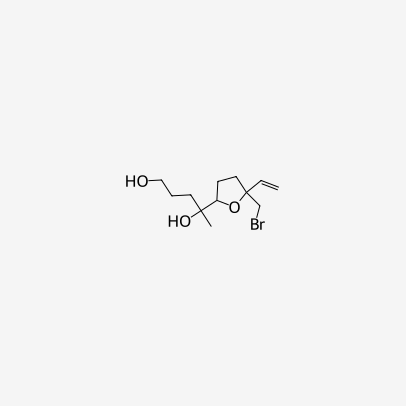 C=CC1(CBr)CCC(C(C)(O)CCCO)O1